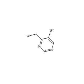 CC(C)c1cncnc1CBr